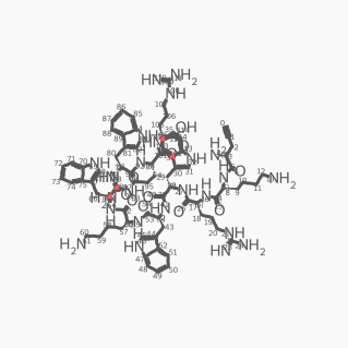 C#CC[C@H](N)C(=O)N[C@@H](CCCCN)C(=O)N[C@@H](CCCNC(=N)N)C(=O)N[C@@H](Cc1c[nH]c2ccccc12)C(=O)N[C@@H](Cc1c[nH]c2ccccc12)C(=O)N[C@@H](CCCCN)C(=O)N[C@@H](Cc1c[nH]c2ccccc12)C(=O)N[C@@H](Cc1c[nH]c2ccccc12)C(=O)N[C@@H](CCCNC(=N)N)C(=O)N[C@@H](CCCNC(=N)N)C(=O)O